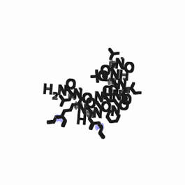 C=C/C=C\C(=C)C[C@@H](C(=O)N[C@@H](CCC/C(C=C)=C/C=C)C(=O)N(C)[C@@H](CC(C)C)C(N)=O)N(C)C(=O)CN(C)C(=O)CC(NC(=O)[C@H](C(C)CC)N(C)C(=O)[C@H](COC(C)(C)C)NC(=O)[C@H](CC(C)C)N(C)C=O)C(=O)N1CCCCC1